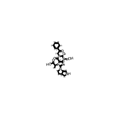 CC(C(=O)O)n1c(N2CCC3CNC=C32)nc2c1c(=O)n(CC(=O)c1ccccc1)c(=O)n2C.Cl